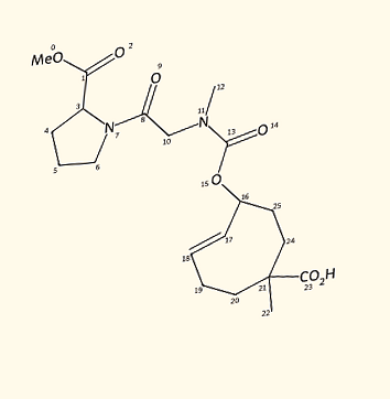 COC(=O)C1CCCN1C(=O)CN(C)C(=O)OC1/C=C/CCC(C)(C(=O)O)CC1